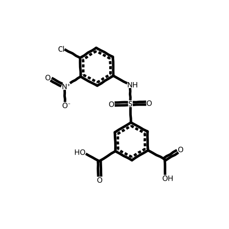 O=C(O)c1cc(C(=O)O)cc(S(=O)(=O)Nc2ccc(Cl)c([N+](=O)[O-])c2)c1